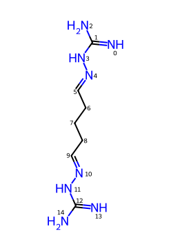 N=C(N)NN=CCCCC=NNC(=N)N